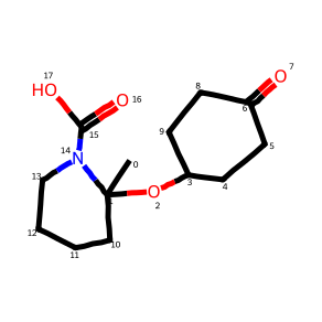 CC1(OC2CCC(=O)CC2)CCCCN1C(=O)O